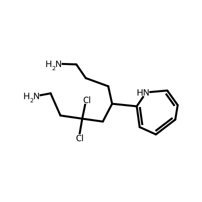 NCCCC(CC(Cl)(Cl)CCN)C1=CC=CC=CN1